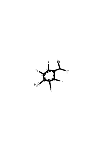 CCC(CC)c1c(F)c(F)c(N)c(F)c1F